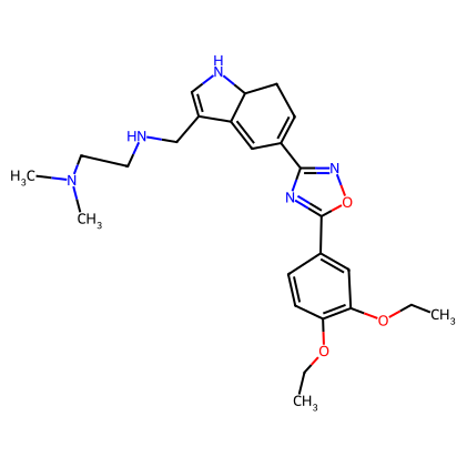 CCOc1ccc(-c2nc(C3=CCC4NC=C(CNCCN(C)C)C4=C3)no2)cc1OCC